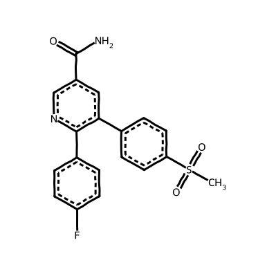 CS(=O)(=O)c1ccc(-c2cc(C(N)=O)cnc2-c2ccc(F)cc2)cc1